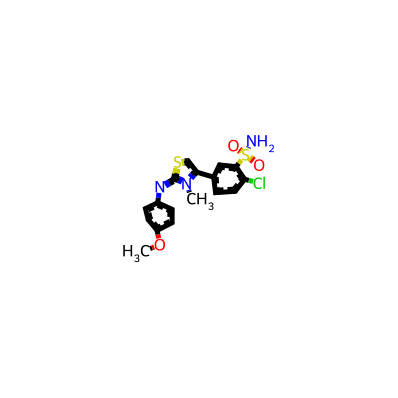 COc1ccc(/N=c2/scc(-c3ccc(Cl)c(S(N)(=O)=O)c3)n2C)cc1